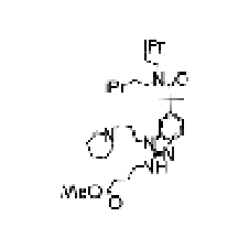 COC(=O)CCCNc1nc2ccc(C(C)(C)C(=O)N(CCC(C)C)CCC(C)C)cc2n1CCCN1CCCCC1